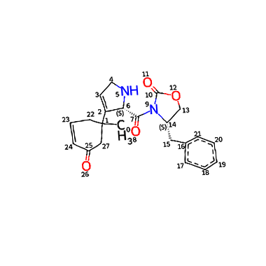 CC1(C2=CCN[C@@H]2C(=O)N2C(=O)OC[C@@H]2Cc2ccccc2)CC=CC(=O)C1